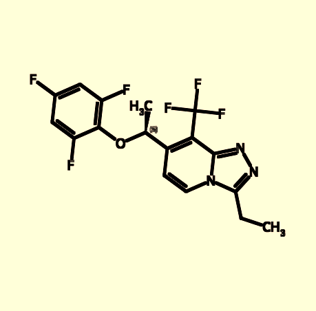 CCc1nnc2c(C(F)(F)F)c([C@H](C)Oc3c(F)cc(F)cc3F)ccn12